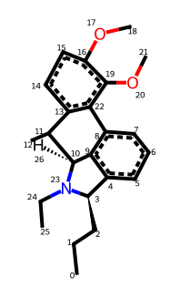 CCC[C@@H]1c2cccc3c2[C@H](C(C)c2ccc(OC)c(OC)c2-3)N1CC